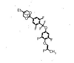 CCC12COC(c3cc(F)c(C(F)(F)Oc4cc(F)c(O/C=C(/C)F)c(F)c4)c(F)c3)(OC1)OC2